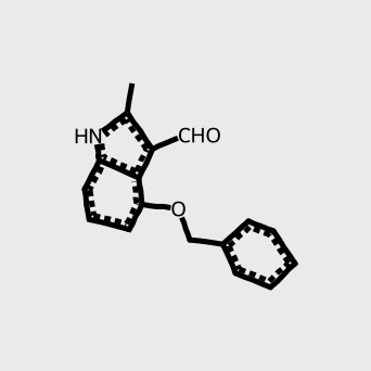 Cc1[nH]c2cccc(OCc3ccccc3)c2c1C=O